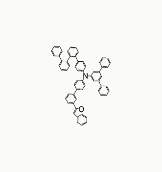 c1ccc(-c2cc(-c3ccccc3)cc(N(c3ccc(-c4cccc(-c5cc6ccccc6o5)c4)cc3)c3ccc(-c4ccccc4-c4ccccc4-c4ccccc4)cc3)c2)cc1